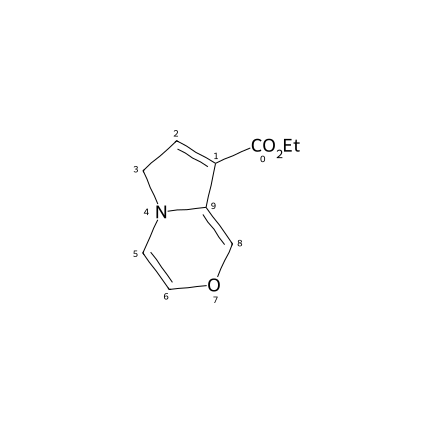 CCOC(=O)C1=CCN2C=COC=C12